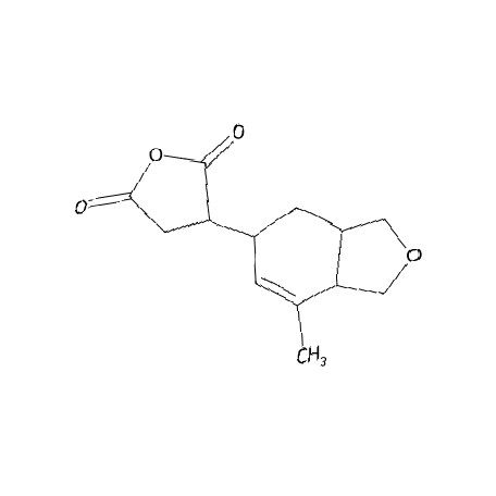 CC1=CC(C2CC(=O)OC2=O)CC2COCC12